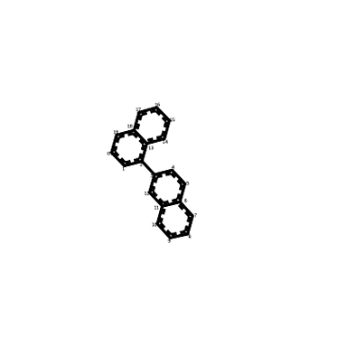 [c]1cc(-c2ccc3ccccc3c2)c2ccccc2c1